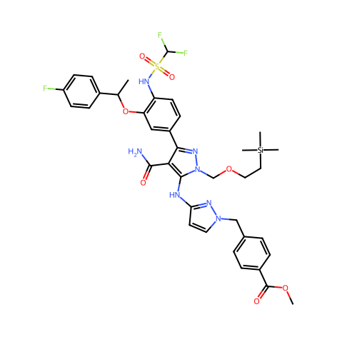 COC(=O)c1ccc(Cn2ccc(Nc3c(C(N)=O)c(-c4ccc(NS(=O)(=O)C(F)F)c(OC(C)c5ccc(F)cc5)c4)nn3COCC[Si](C)(C)C)n2)cc1